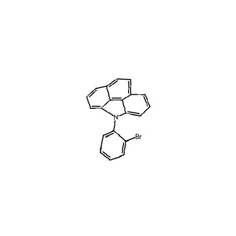 Brc1ccccc1-n1c2cccc3ccc4cccc1c4c32